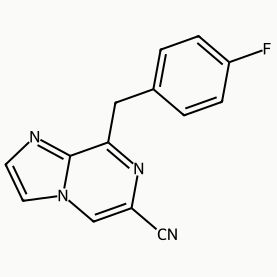 N#Cc1cn2ccnc2c(Cc2ccc(F)cc2)n1